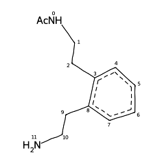 CC(=O)NCCc1ccccc1CCN